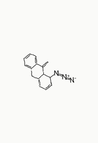 C=C1c2ccccc2CC2=CC=CC(N=[N+]=[N-])C12